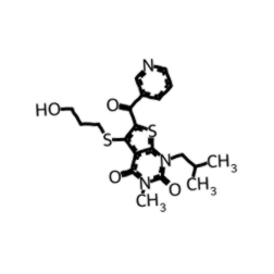 CC(C)Cn1c(=O)n(C)c(=O)c2c(SCCCO)c(C(=O)c3cccnc3)sc21